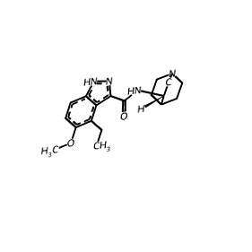 CCc1c(OC)ccc2[nH]nc(C(=O)N[C@@H]3CN4CCC3CC4)c12